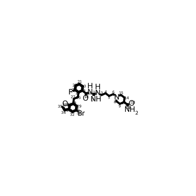 N=C(NCCCCN1CCC(C(N)=O)CC1)NC(=O)c1cccc(F)c1CCc1cc(Br)cc2ccoc12